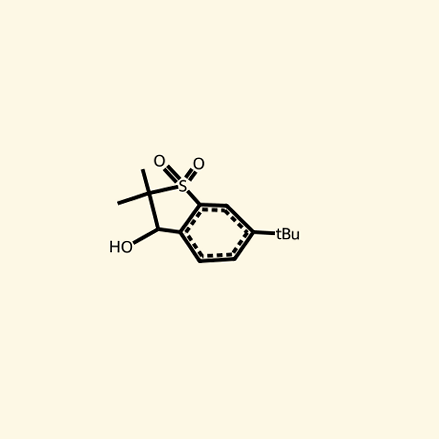 CC(C)(C)c1ccc2c(c1)S(=O)(=O)C(C)(C)C2O